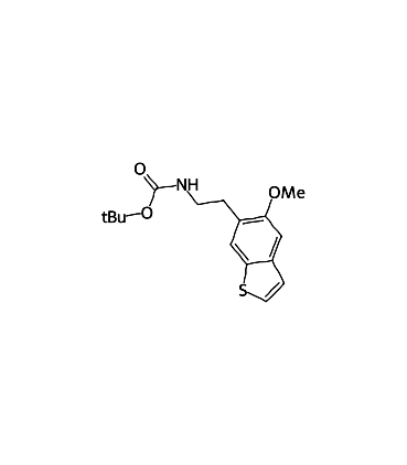 COc1cc2ccsc2cc1CCNC(=O)OC(C)(C)C